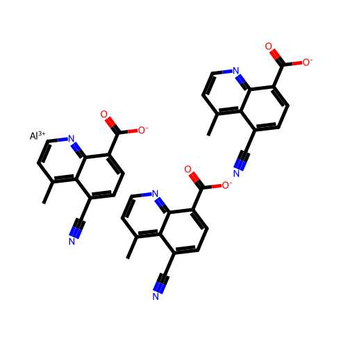 Cc1ccnc2c(C(=O)[O-])ccc(C#N)c12.Cc1ccnc2c(C(=O)[O-])ccc(C#N)c12.Cc1ccnc2c(C(=O)[O-])ccc(C#N)c12.[Al+3]